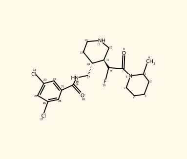 CC1CCCCN1C(=O)C(F)[C@@H]1CNCC[C@H]1CNC(=O)c1cc(Cl)cc(Cl)c1